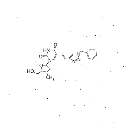 C[C@@H]1C[C@H](n2cc(/C=C/c3cn(Cc4ccccc4)nn3)c(=O)[nH]c2=O)O[C@@H]1CO